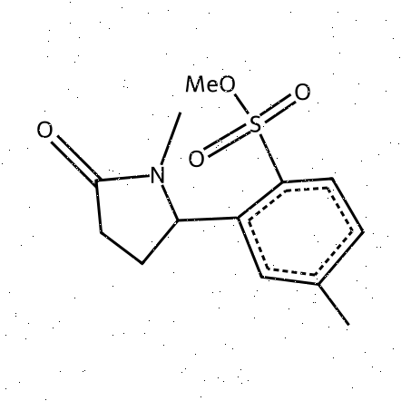 COS(=O)(=O)c1ccc(C)cc1C1CCC(=O)N1C